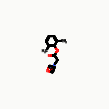 Cc1cccc(C)c1OC(=O)CN1CC2CC1O2